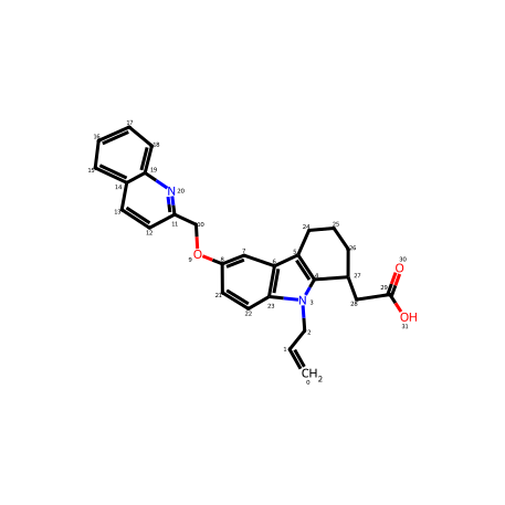 C=CCn1c2c(c3cc(OCc4ccc5ccccc5n4)ccc31)CCCC2CC(=O)O